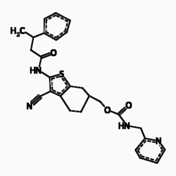 CC(CC(=O)Nc1sc2c(c1C#N)CCC(COC(=O)NCc1ccccn1)C2)c1ccccc1